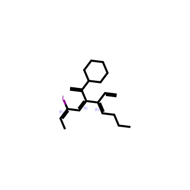 C=CC(=C\CCC)/C(=C/C(I)=C\C)C(=C)C1CCCCC1